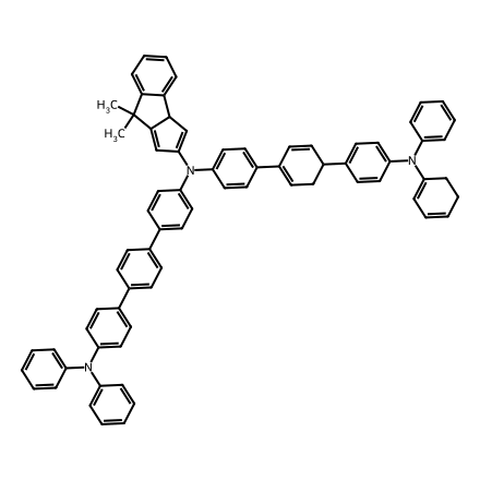 CC1(C)C2=CC(N(c3ccc(C4=CCC(c5ccc(N(C6=CC=CCC6)c6ccccc6)cc5)C=C4)cc3)c3ccc(-c4ccc(-c5ccc(N(c6ccccc6)c6ccccc6)cc5)cc4)cc3)=CC2c2ccccc21